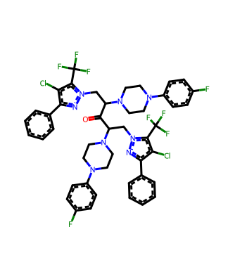 O=C(C(Cn1nc(-c2ccccc2)c(Cl)c1C(F)(F)F)N1CCN(c2ccc(F)cc2)CC1)C(Cn1nc(-c2ccccc2)c(Cl)c1C(F)(F)F)N1CCN(c2ccc(F)cc2)CC1